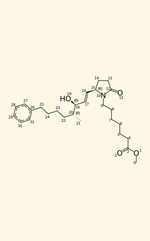 COC(=O)CCCCCCN1C(=O)CC[C@@H]1C=C[C@H](O)[C@H](C)CCCCc1ccccc1